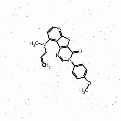 C=CCN(C)c1ccnc2sc3c(=O)n(-c4ccc(OC)cc4)cnc3c12